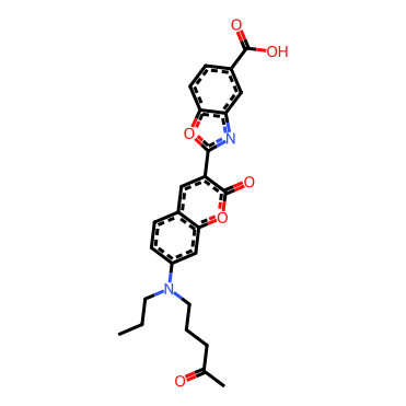 CCCN(CCCC(C)=O)c1ccc2cc(-c3nc4cc(C(=O)O)ccc4o3)c(=O)oc2c1